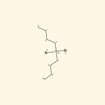 CCC[CH2][Ti]([Br])([Br])[CH2]CCC